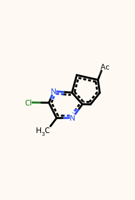 CC(=O)c1ccc2nc(C)c(Cl)nc2c1